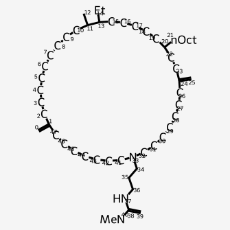 C=C1CCCCCCCCCC(C)C(CC)CCCCCC(CCCCCCCC)CCC(=C)CCCCCCCN(CCCNC(=C)NC)CCCCCCC1